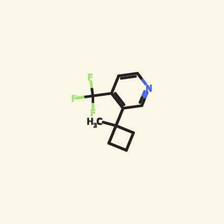 CC1(c2cnccc2C(F)(F)F)CCC1